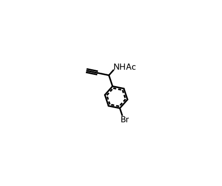 C#CC(NC(C)=O)c1ccc(Br)cc1